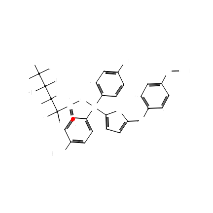 COc1ccc(Sc2ccc(S(OS(=O)(=O)C(F)(F)C(F)(F)C(F)(F)C(F)(F)F)(c3ccc(C)cc3)c3ccc(C)cc3)s2)cc1